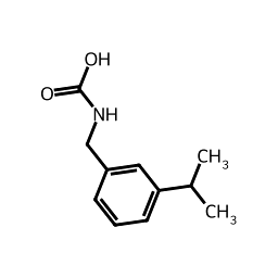 CC(C)c1cccc(CNC(=O)O)c1